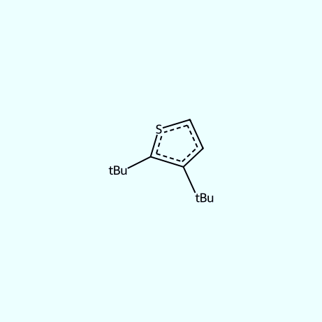 CC(C)(C)c1ccsc1C(C)(C)C